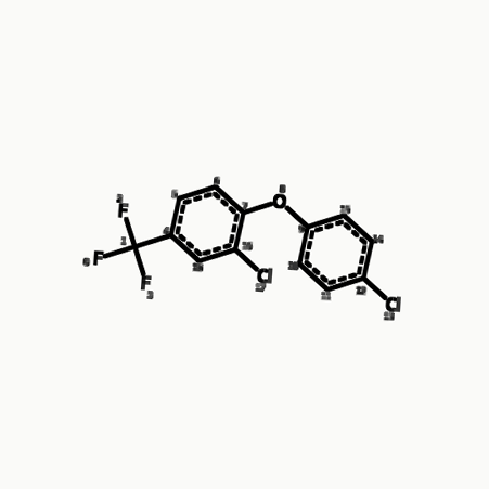 FC(F)(F)c1ccc(Oc2ccc(Cl)cc2)c(Cl)c1